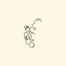 C#C[C@]1(OC(=O)C(Cl)CCCC)CC[C@H]2[C@@H]3CCC4CC=CC[C@@H]4[C@H]3CC[C@@]21C